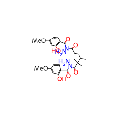 COc1ccc(C(=O)N(N)C(=O)CCC(C)C(C)(C)C(=O)N(N)C(=O)c2ccc(OC)cc2O)c(O)c1